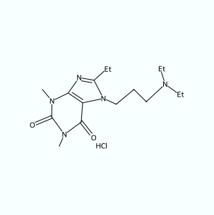 CCc1nc2c(c(=O)n(C)c(=O)n2C)n1CCCN(CC)CC.Cl